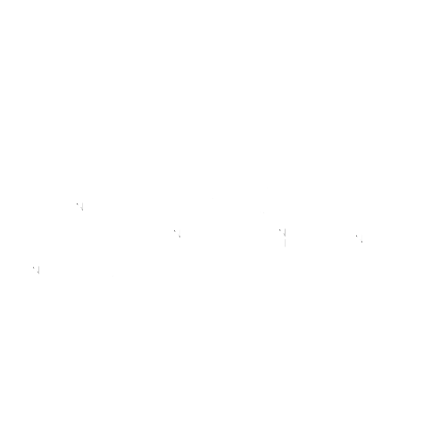 N#Cc1ccc(N2CCC(C(=O)NCCN3CCCCC3)CC2)c2cccnc12